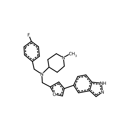 CN1CCC(N(Cc2ccc(F)cc2)Cc2cc(-c3ccc4[nH]ncc4c3)co2)CC1